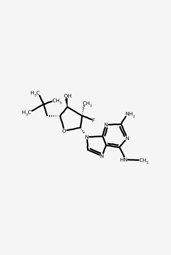 CNc1nc(N)nc2c1ncn2[C@@H]1O[C@H](CC(C)(C)C)[C@@H](O)[C@@]1(C)F